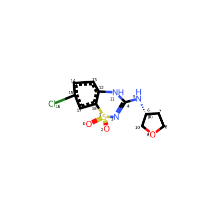 O=S1(=O)N=C(N[C@@H]2CCOC2)Nc2ccc(Cl)cc21